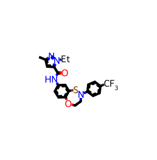 CCn1nc(C)cc1C(=O)Nc1ccc2c(c1)SN(c1ccc(C(F)(F)F)cc1)CCO2